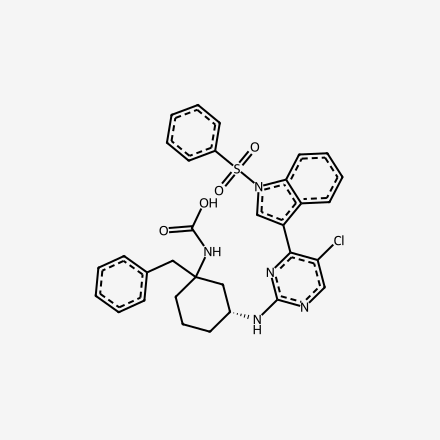 O=C(O)NC1(Cc2ccccc2)CCC[C@@H](Nc2ncc(Cl)c(-c3cn(S(=O)(=O)c4ccccc4)c4ccccc34)n2)C1